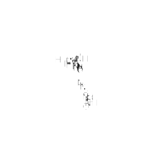 C[C@@H]1Cc2c([nH]c3ccccc23)[C@@H](c2cnc(OCCCCCN3CCN(c4ccc5c(c4)CN(C4CCC(=O)NC4=O)C5=O)CC3)nc2)N1CC(C)(C)F